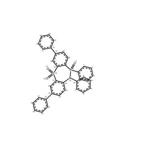 O=P1(c2ccccc2)c2ccc(-c3ccccc3)cc2S(=O)(=O)c2cc(-c3ccccc3)ccc2N1c1ccccc1